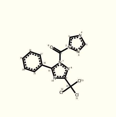 O=C(n1cncn1)n1nc(C(Cl)(Cl)Cl)nc1-c1ccccc1